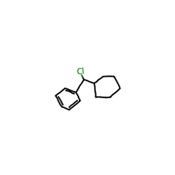 ClC(c1ccccc1)C1CCCCC1